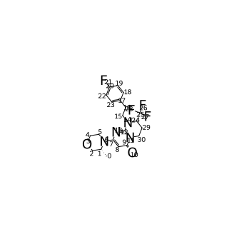 C[C@@H]1COCCN1c1cc(=O)n2c(n1)N(CCc1ccc(F)cc1)[C@H](C(F)(F)F)CC2